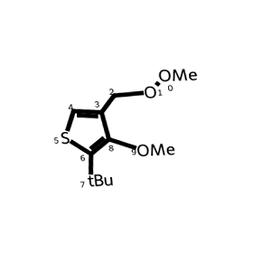 COOCc1csc(C(C)(C)C)c1OC